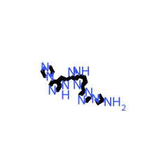 CN1CCN(c2cncc3[nH]c(-c4n[nH]c5ccc(-c6cncc(N7CC(N)C7)n6)nc45)cc23)CC1